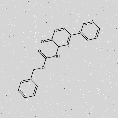 O=C(NC1C=C(c2cccnc2)C=CC1=O)OCc1ccccc1